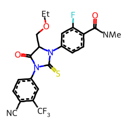 CCOCC1C(=O)N(c2ccc(C#N)c(C(F)(F)F)c2)C(=S)N1c1ccc(C(=O)NC)c(F)c1